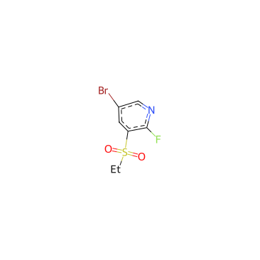 CCS(=O)(=O)c1cc(Br)cnc1F